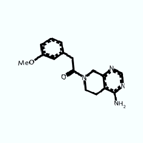 COc1cccc(CC(=O)N2CCc3c(N)ncnc3C2)c1